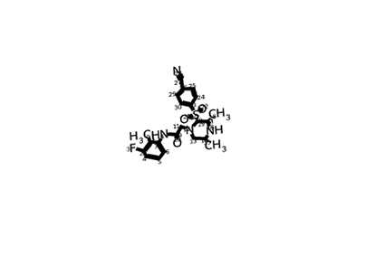 Cc1c(F)cccc1NC(=O)CN1CC(C)N[C@@H](C)[C@H]1S(=O)(=O)c1ccc(C#N)cc1